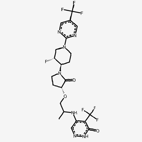 CC(CO[C@@H]1CCN([C@@H]2CCN(c3ncc(C(F)(F)F)cn3)C[C@H]2F)C1=O)Nc1cn[nH]c(=O)c1C(F)(F)F